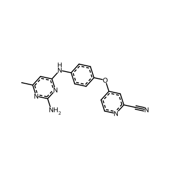 Cc1cc(Nc2ccc(Oc3ccnc(C#N)c3)cc2)nc(N)n1